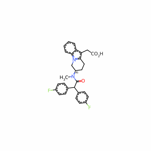 CN(C(=O)C(c1ccc(F)cc1)c1ccc(F)cc1)[C@@H]1CCc2c(CC(=O)O)c3ccccc3n2C1